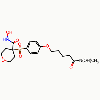 CN(O)C(=O)CCCCOc1ccc(S(=O)(=O)C2(C(=O)NO)CCOCC2)cc1